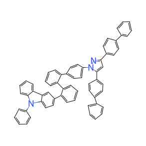 c1ccc(-c2ccc(-c3cc(-c4ccc(-c5ccccc5)cc4)n(-c4ccc(-c5ccccc5-c5ccccc5-c5ccc6c(c5)c5ccccc5n6-c5ccccc5)cc4)n3)cc2)cc1